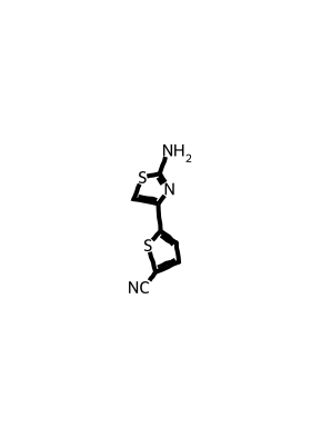 N#Cc1ccc(-c2csc(N)n2)s1